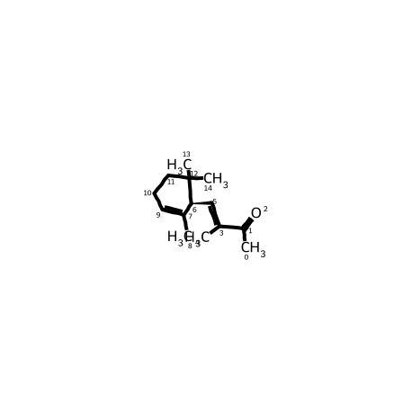 CC(=O)/C(C)=C/[C@H]1C(C)=CCCC1(C)C